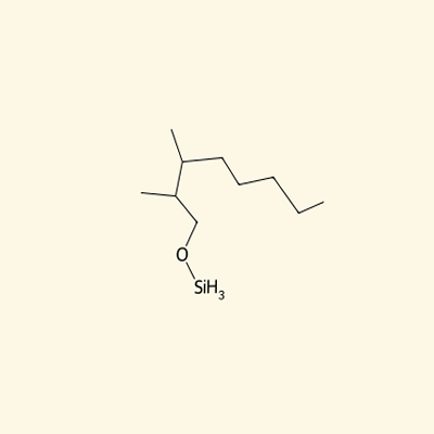 CCCCCC(C)C(C)CO[SiH3]